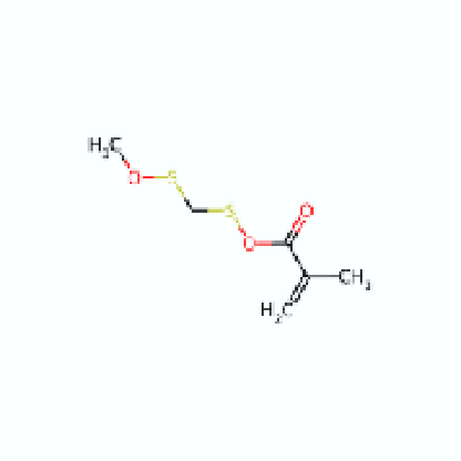 C=C(C)C(=O)OSCSOC